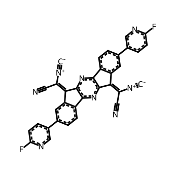 [C-]#[N+]/C(C#N)=C1/c2cc(-c3ccc(F)nc3)ccc2-c2nc3c(nc21)-c1ccc(-c2ccc(F)nc2)cc1/C3=C(/C#N)[N+]#[C-]